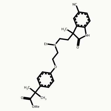 CCN(CCOc1ccc(C(C)(C)C(=O)OC)cc1)CCC1(C)C(=O)Nc2ccc(C#N)cc21